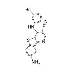 N#Cc1cnc2c(sc3ccc(N)cc32)c1Nc1cccc(Br)c1